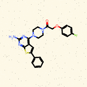 Nc1nc(N2CCN(C(=O)COc3ccc(F)cc3)CC2)c2cc(-c3ccccc3)sc2n1